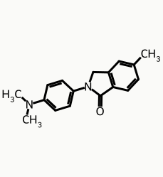 Cc1ccc2c(c1)CN(c1ccc(N(C)C)cc1)C2=O